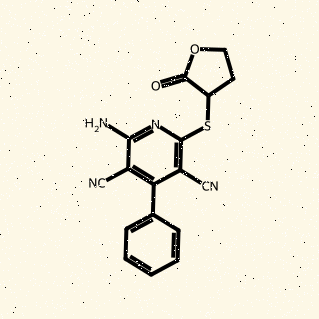 N#Cc1c(N)nc(SC2CCOC2=O)c(C#N)c1-c1ccccc1